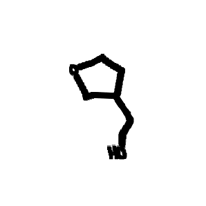 OCC1C[CH]OC1